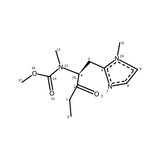 CCC(=O)[C@H](Cc1nccn1C)N(C)C(=O)OC